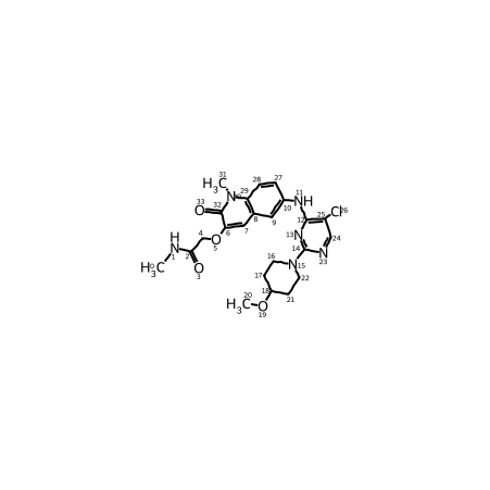 CNC(=O)COc1cc2cc(Nc3nc(N4CCC(OC)CC4)ncc3Cl)ccc2n(C)c1=O